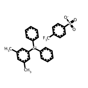 Cc1cc(C)cc([S+](c2ccccc2)c2ccccc2)c1.O=S(=O)([O-])c1ccc(C(F)(F)F)cc1